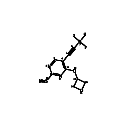 CSc1ncc(C#C[Si](C)(C)C)c(OC2COC2)n1